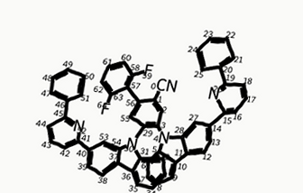 N#Cc1cc(-n2c3ccccc3c3ccc(-c4cccc(-c5ccccc5)n4)cc32)c(-n2c3ccccc3c3ccc(-c4cccc(-c5ccccc5)n4)cc32)cc1-c1c(F)cccc1F